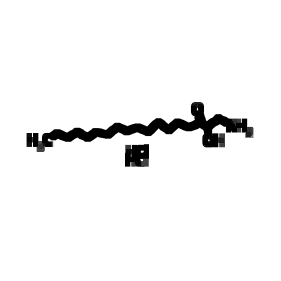 CCCCCCCCCCCCCCCC(=O)C(O)CN.Cl.Cl